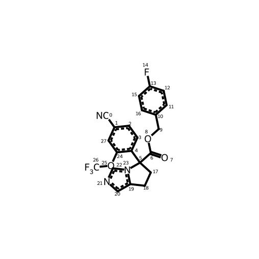 N#Cc1ccc(C2(C(=O)OCc3ccc(F)cc3)CCc3cncn32)c(OC(F)(F)F)c1